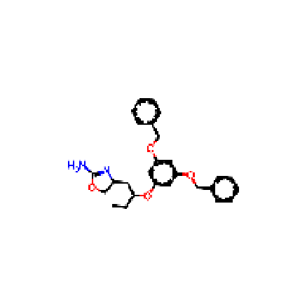 CCC(CC1COC(N)=N1)Oc1cc(OCc2ccccc2)cc(OCc2ccccc2)c1